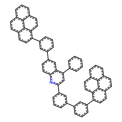 c1ccc(-c2cc(-c3cccc(-c4cccc(-c5ccc6ccc7cccc8ccc5c6c78)c4)c3)nc3ccc(-c4cccc(-c5ccc6ccc7cccc8ccc5c6c78)c4)cc23)cc1